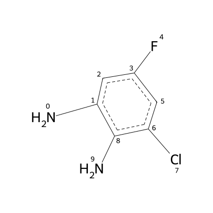 Nc1cc(F)cc(Cl)c1N